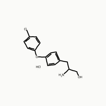 Cl.NC(CO)Cc1ccc(Oc2ccc(Cl)cc2)cc1